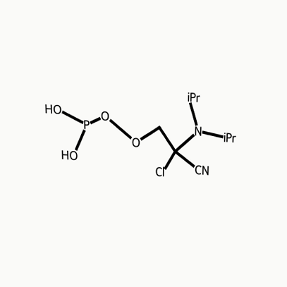 CC(C)N(C(C)C)C(Cl)(C#N)COOP(O)O